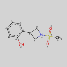 CS(=O)(=O)N1CC(c2ccccc2O)C1